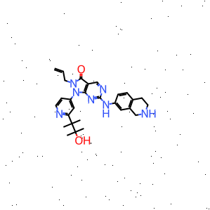 C=CCn1c(=O)c2cnc(Nc3ccc4c(c3)CNCC4)nc2n1-c1ccnc(C(C)(C)C(C)(C)O)c1